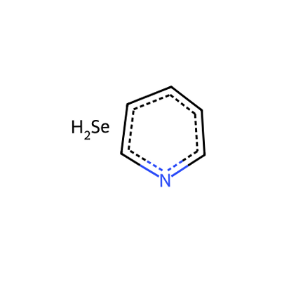 [SeH2].c1ccncc1